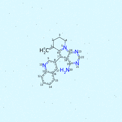 C=C1CCCn2c1c(-c1cnc3ccccc3c1)c1c(N)ncnc12